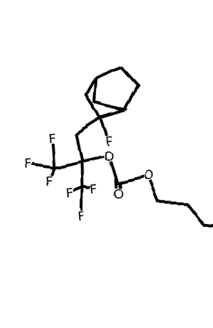 CCCCOC(=O)OC(CC1(F)CC2CCC1C2)(C(F)(F)F)C(F)(F)F